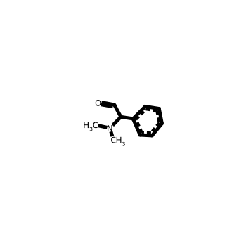 CN(C)C([C]=O)c1ccccc1